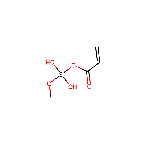 C=CC(=O)O[Si](O)(O)OC